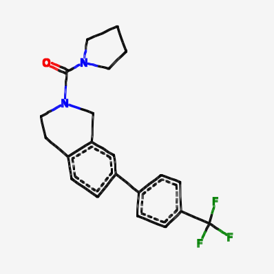 O=C(N1CCCC1)N1CCc2ccc(-c3ccc(C(F)(F)F)cc3)cc2C1